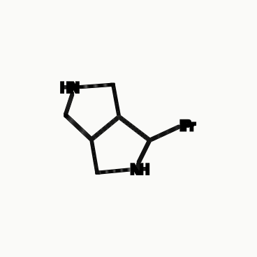 CC(C)C1NCC2CNCC21